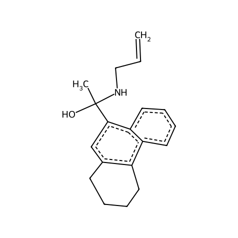 C=CCNC(C)(O)c1cc2c(c3ccccc13)CCCC2